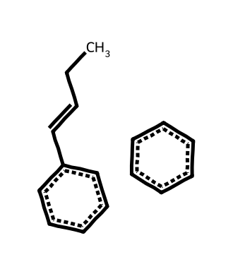 CCC=Cc1ccccc1.c1ccccc1